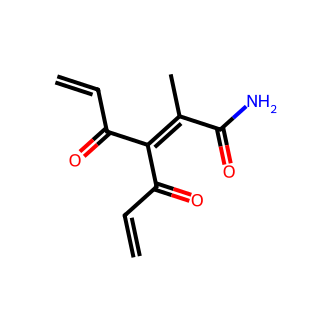 C=CC(=O)C(C(=O)C=C)=C(C)C(N)=O